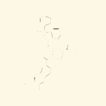 COc1nc2cc(C(=O)N3CCN(C(=O)OC(C)(C)C)C[C@H]3CCO[Si](c3ccccc3)(c3ccccc3)C(C)(C)C)c(F)cc2cc1C